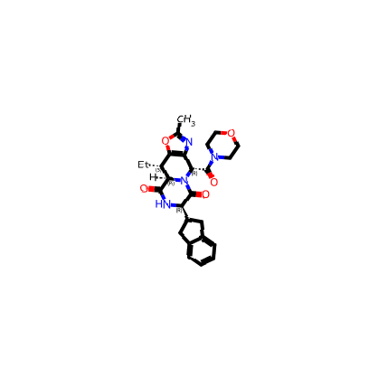 CC[C@@H]1c2oc(C)nc2[C@H](C(=O)N2CCOCC2)N2C(=O)[C@@H](C3Cc4ccccc4C3)NC(=O)[C@@H]12